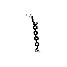 CCCCCCCC1(C#N)CCC(c2ccc(-c3ccc(C4CCC(CCC)CC4)cc3)cc2)CC1